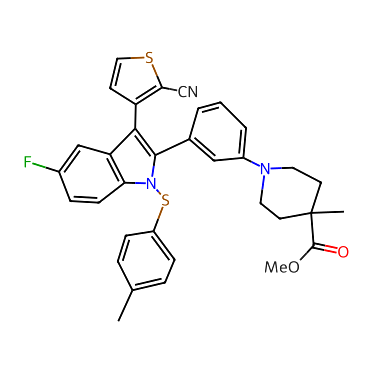 COC(=O)C1(C)CCN(c2cccc(-c3c(-c4ccsc4C#N)c4cc(F)ccc4n3Sc3ccc(C)cc3)c2)CC1